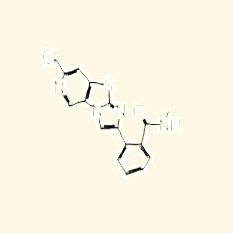 CNC(=O)c1ccccc1-c1cn2c(n1)sc1cc(Cl)ncc12